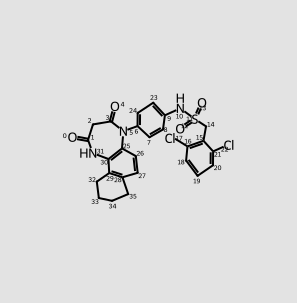 O=C1CC(=O)N(c2ccc(NS(=O)(=O)Cc3c(Cl)cccc3Cl)cc2)c2ccc3c(c2N1)CCCC3